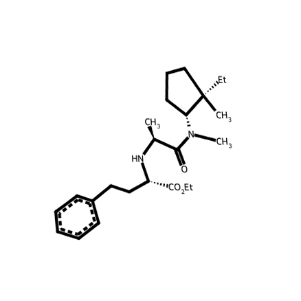 CCOC(=O)[C@H](CCc1ccccc1)N[C@@H](C)C(=O)N(C)[C@@H]1CCC[C@]1(C)CC